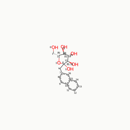 OC[C@H]1OC(O)(Cc2ccc3ccccc3c2)[C@H](O)[C@@H](O)[C@@H]1O